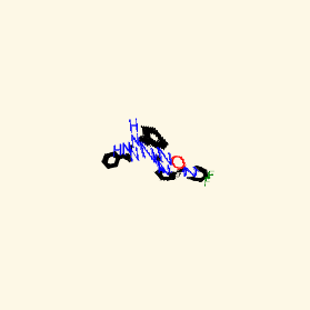 O=C([C@H]1CCCN1c1nc2c(c(Nc3ncc(C4CCCCC4)[nH]3)n1)CCC2)N1CCC(F)(F)CC1